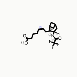 O=C(O)CCC/C=C\C[C@H]1C2CC(C2)C[C@@H]1NC(=O)C(F)(F)F